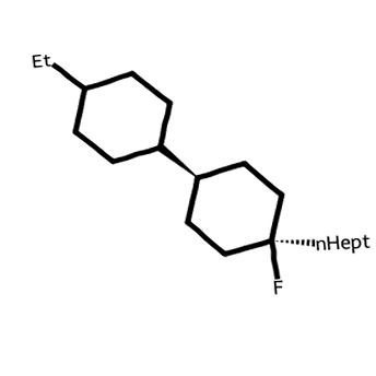 CCCCCCC[C@]1(F)CC[C@@H](C2CCC(CC)CC2)CC1